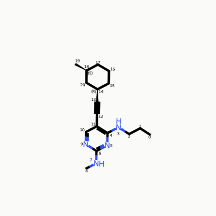 CCCNc1nc(NC)ncc1C#C[C@@H]1CCC[C@H](C)C1